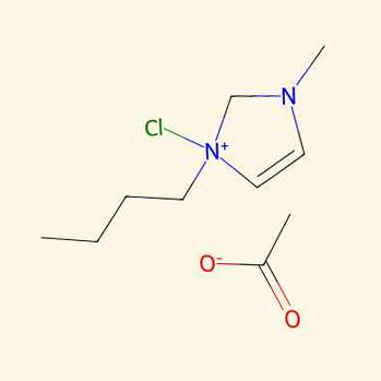 CC(=O)[O-].CCCC[N+]1(Cl)C=CN(C)C1